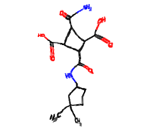 CC1(C)CCC(NC(=O)C2C(C(=O)O)C(C(N)=O)C2C(=O)O)C1